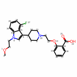 COCCn1cc(C2CCN(CCOc3ccccc3C(=O)O)CC2)c2c(F)cccc21